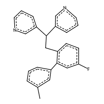 Cc1cccc(-c2cc(F)ccc2CC(c2cccnc2)c2cccnc2)c1